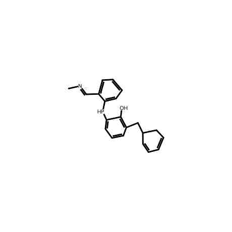 C/N=C/c1ccccc1Pc1cccc(CC2C=CC=CC2)c1O